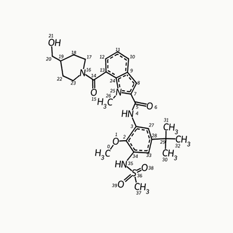 COc1c(NC(=O)c2cc3cccc(C(=O)N4CCC(CO)CC4)c3n2C)cc(C(C)(C)C)cc1NS(C)(=O)=O